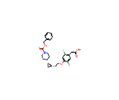 O=C(O)Cc1cc(F)c(OCC[C@@H]2C[C@@H]2C2CCN(C(=O)OCc3ccccc3)CC2)cc1F